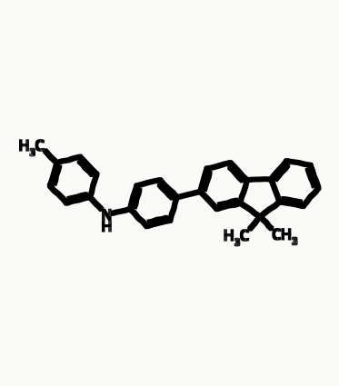 Cc1ccc(Nc2ccc(-c3ccc4c(c3)C(C)(C)c3ccccc3-4)cc2)cc1